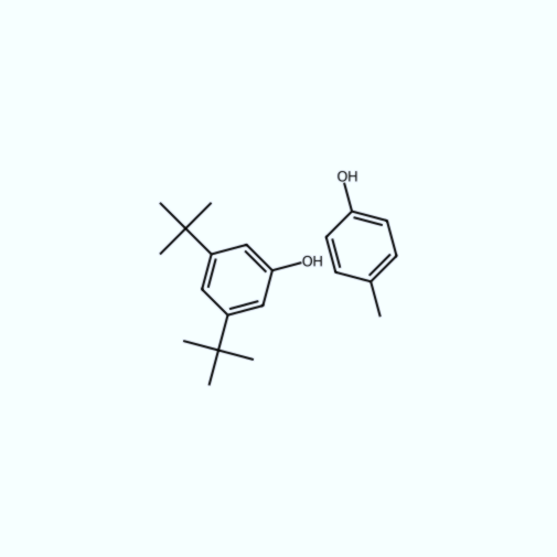 CC(C)(C)c1cc(O)cc(C(C)(C)C)c1.Cc1ccc(O)cc1